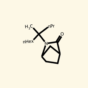 CCCCCCC(C)(CCC)N1C(=O)C2CCC1C2